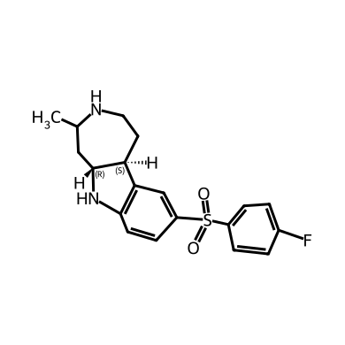 CC1C[C@H]2Nc3ccc(S(=O)(=O)c4ccc(F)cc4)cc3[C@@H]2CCN1